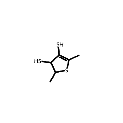 CC1=C(S)C(S)C(C)S1